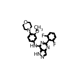 COc1cc(Nc2nc(-c3c(F)cccc3F)nc3cn[nH]c23)ccc1N1CCOCC1